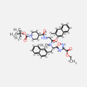 CCOC(=O)c1noc([C@@H](Cc2ccc3ccccc3c2)N(C)C(=O)[C@@H](Cc2ccc3ccccc3c2)NC(=O)C2CCN(C(=O)OC(C)(C)C)CC2)n1